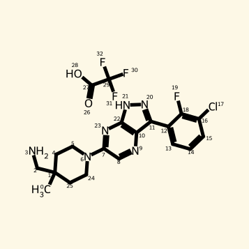 CC1(CN)CCN(c2cnc3c(-c4cccc(Cl)c4F)n[nH]c3n2)CC1.O=C(O)C(F)(F)F